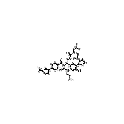 CC(C)(C)CCNC(=N)N(C(=O)c1ccc(-c2cnn(C(F)F)c2)cc1)[C@H](COC(=O)NCC(F)F)c1ccc(Cl)c(-n2ncnc2C(F)F)c1